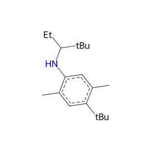 CCC(Nc1cc(C)c(C(C)(C)C)cc1C)C(C)(C)C